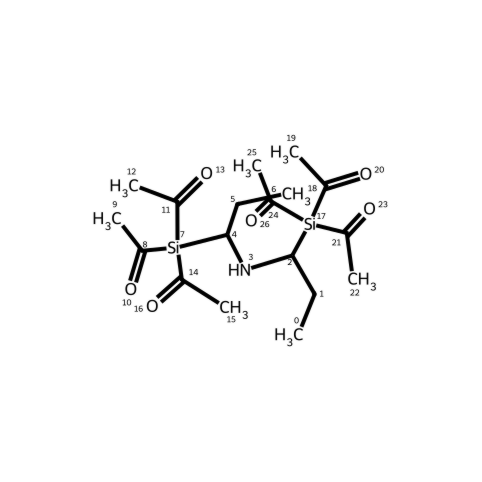 CCC(NC(CC)[Si](C(C)=O)(C(C)=O)C(C)=O)[Si](C(C)=O)(C(C)=O)C(C)=O